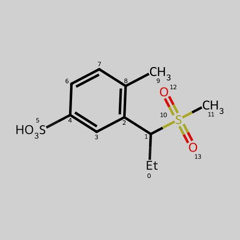 CCC(c1cc(S(=O)(=O)O)ccc1C)S(C)(=O)=O